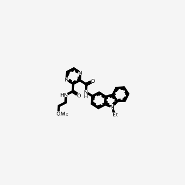 CCn1c2ccccc2c2cc(NC(=O)c3nccnc3C(=O)NCCOC)ccc21